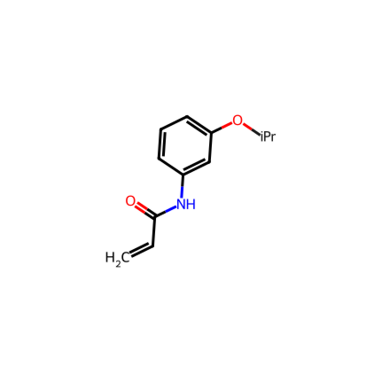 C=CC(=O)Nc1cccc(OC(C)C)c1